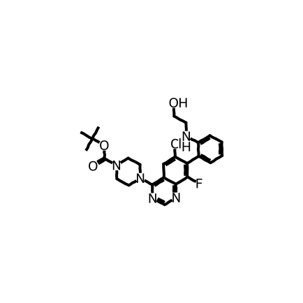 CC(C)(C)OC(=O)N1CCN(c2ncnc3c(F)c(-c4ccccc4NCCO)c(Cl)cc23)CC1